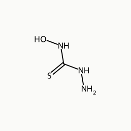 NNC(=S)NO